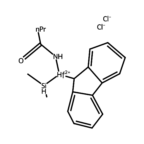 CCCC(=O)[NH][Hf+2]([CH]1c2ccccc2-c2ccccc21)[SiH](C)C.[Cl-].[Cl-]